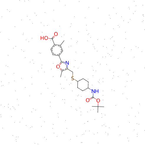 Cc1cc(-c2nc(CSC3CCC(NC(=O)OC(C)(C)C)CC3)c(C)o2)ccc1C(=O)O